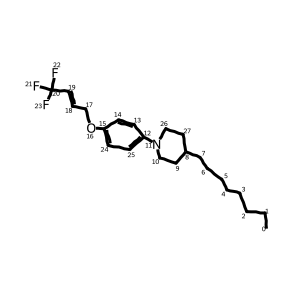 CCCCCCCCC1CCN(c2ccc(OCC=CC(F)(F)F)cc2)CC1